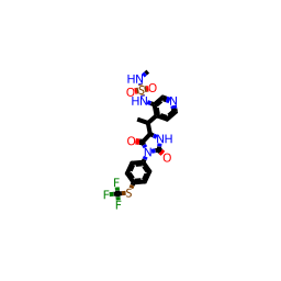 CNS(=O)(=O)Nc1cnccc1C(C)C1NC(=O)N(c2ccc(SC(F)(F)F)cc2)C1=O